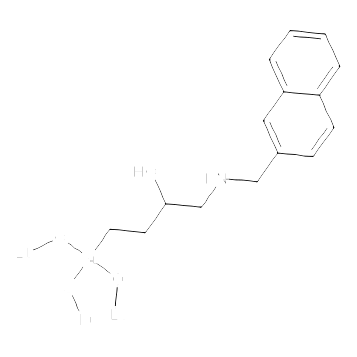 CCO[Si](CCC(O)CNCc1ccc2ccccc2c1)(OCC)OCC